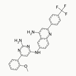 COc1ccccc1-c1cc(Nc2ccc3nc(-c4ccc(C(F)(F)F)cc4)cc(N)c3c2)nc(N)n1